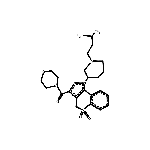 O=C(c1nn(C2CCCN(CCC(C(F)(F)F)C(F)(F)F)C2)c2c1CS(=O)(=O)c1ccccc1-2)N1CCOCC1